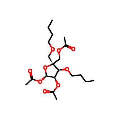 CCCCOC[C@@]1(COC(C)=O)O[C@H](OC(C)=O)[C@H](OC(C)=O)[C@@H]1OCCCC